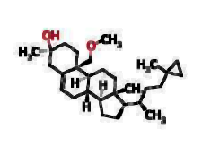 COC[C@]12CC[C@](C)(O)CC1=CC[C@@H]1[C@@H]2CC[C@]2(C)[C@@H]([C@H](C)CCC3(C)CC3)CC[C@@H]12